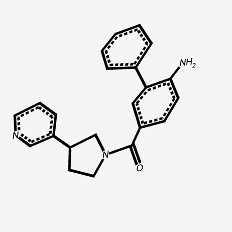 Nc1ccc(C(=O)N2CCC(c3cccnc3)C2)cc1-c1ccccc1